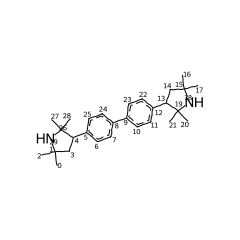 CC1(C)CC(c2ccc(-c3ccc(C4CC(C)(C)NC4(C)C)cc3)cc2)C(C)(C)N1